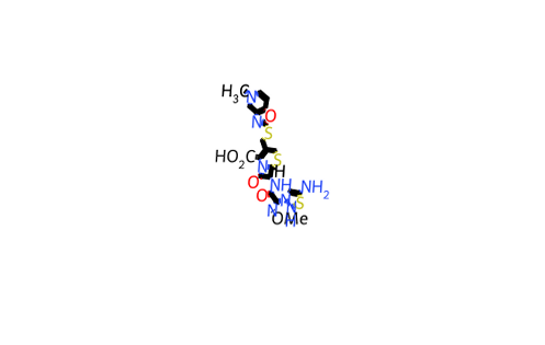 CO/N=C(/C(=O)NC1C(=O)N2C(C(=O)O)=C(CSc3nc4c(o3)C=CN(C)C4)CS[C@H]12)N1C=C(N)SN1